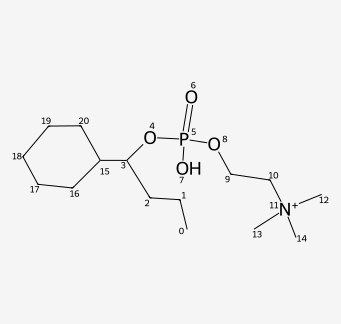 CCCC(OP(=O)(O)OCC[N+](C)(C)C)C1CCCCC1